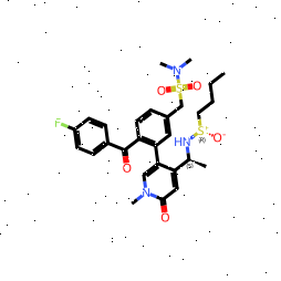 CCCC[S@+]([O-])N[C@@H](C)c1cc(=O)n(C)cc1-c1cc(CS(=O)(=O)N(C)C)ccc1C(=O)c1ccc(F)cc1